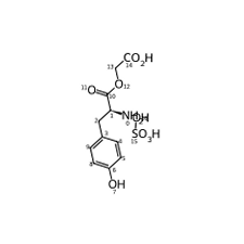 N[C@@H](Cc1ccc(O)cc1)C(=O)OCC(=O)O.O=S(=O)(O)O